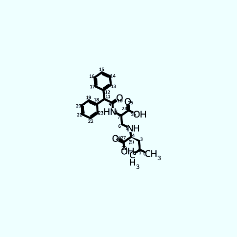 CC(C)C[C@H](NCC(NC(=O)C(c1ccccc1)c1ccccc1)C(=O)O)C(=O)O